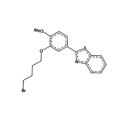 COc1ccc(-c2nc3ccccc3s2)cc1OCCCCBr